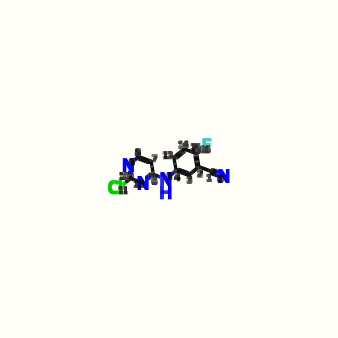 N#Cc1cc(Nc2ccnc(Cl)n2)ccc1F